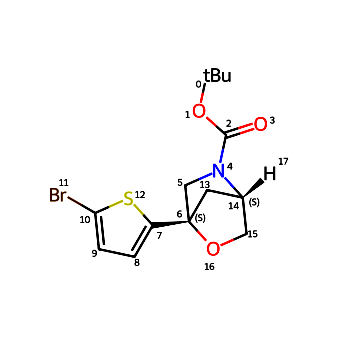 CC(C)(C)OC(=O)N1C[C@]2(c3ccc(Br)s3)C[C@H]1CO2